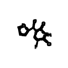 O=C(c1ccco1)n1cc(F)c(=O)[nH]c1=O